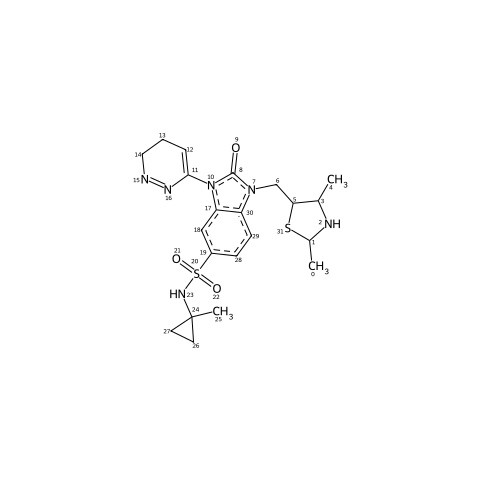 CC1NC(C)C(Cn2c(=O)n(C3=CCCN=N3)c3cc(S(=O)(=O)NC4(C)CC4)ccc32)S1